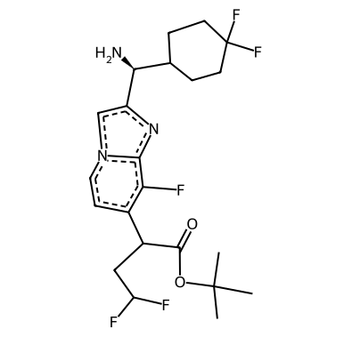 CC(C)(C)OC(=O)C(CC(F)F)c1ccn2cc([C@@H](N)C3CCC(F)(F)CC3)nc2c1F